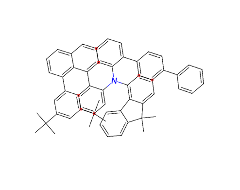 CC(C)(C)c1cc(-c2cccc3cccc(-c4ccccc4N(c4ccccc4-c4ccc(-c5ccccc5)cc4)c4cccc5c4-c4ccccc4C5(C)C)c23)cc(C(C)(C)C)c1